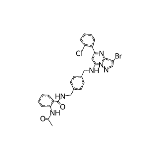 CC(=O)Nc1ccccc1C(=O)NCc1ccc(CNc2cc(-c3ccccc3Cl)nc3c(Br)cnn23)cc1